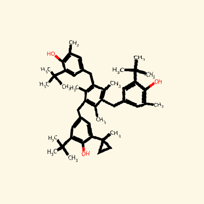 Cc1cc(Cc2c(C)c(Cc3cc(C)c(O)c(C(C)(C)C)c3)c(C)c(Cc3cc(C(C)(C)C)c(O)c(C4(C)CC4)c3)c2C)cc(C(C)(C)C)c1O